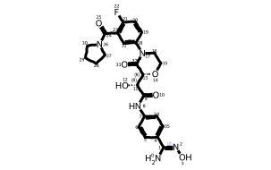 N/C(=N\O)c1ccc(NC(=O)[C@H](O)[C@H]2OCCN(c3ccc(F)c(C(=O)N4CCCC4)c3)C2=O)cc1